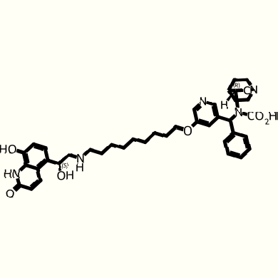 O=C(O)N(C(c1ccccc1)c1cncc(OCCCCCCCCCNC[C@@H](O)c2ccc(O)c3[nH]c(=O)ccc23)c1)[C@H]1CN2CCC1CC2